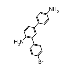 Nc1ccc(-c2ccc(N)c(-c3ccc(Br)cc3)c2)cc1